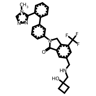 Cn1cnnc1-c1ccccc1-c1cccc(N2Cc3c(cc(CNCC4(O)CCC4)cc3C(F)(F)F)C2=O)c1